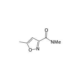 CNC(=O)c1cc(C)on1